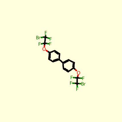 FC(F)(Br)C(F)(F)Oc1ccc(-c2ccc(OC(F)(F)C(F)(F)Br)cc2)cc1